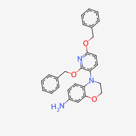 Nc1ccc2c(c1)OCCN2c1ccc(OCc2ccccc2)nc1OCc1ccccc1